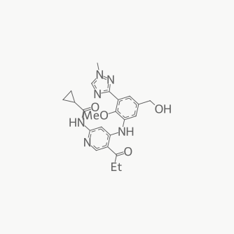 CCC(=O)c1cnc(NC(=O)C2CC2)cc1Nc1cc(CO)cc(-c2ncn(C)n2)c1OC